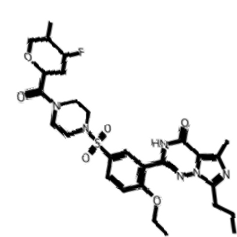 CCCc1nc(C)c2c(=O)[nH]c(-c3cc(S(=O)(=O)N4CCN(C(=O)C5CC(F)C(C)CO5)CC4)ccc3OCC)nn12